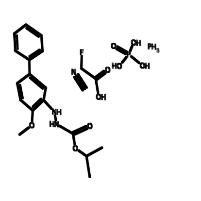 C#N.COc1ccc(-c2ccccc2)cc1NNC(=O)OC(C)C.O=C(O)CF.O=P(O)(O)O.P